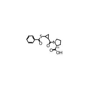 O=C(SC1CC1C(=O)N1CCC[C@H]1C(=O)O)c1ccccc1